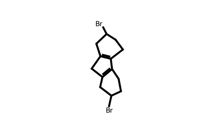 BrC1CCC2=C(CC3=C2CCC(Br)C3)C1